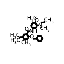 CCCN(C)c1cc(NC(=O)c2cc(C(C)C)c(C)cc2OCc2ccccc2)ccc1OC